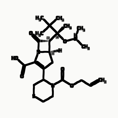 C=CCOC(=O)N1CCSCC1C1=C(C(=O)O)N2C(=O)[C@H]([C@@](C)(O[SiH](C)C)C(C)(C)C)[C@H]2C1